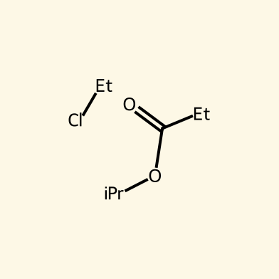 CCC(=O)OC(C)C.CCCl